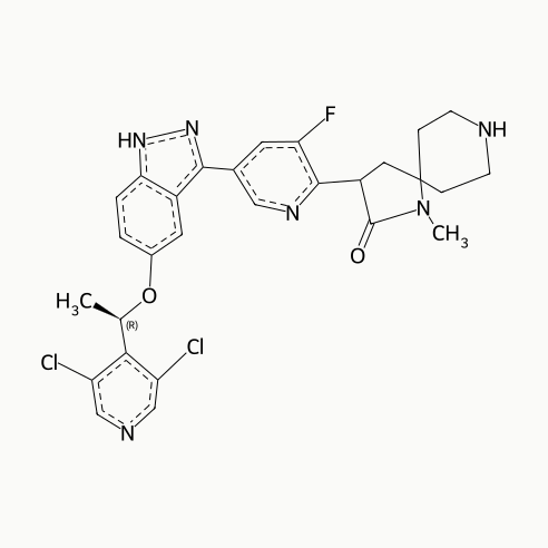 C[C@@H](Oc1ccc2[nH]nc(-c3cnc(C4CC5(CCNCC5)N(C)C4=O)c(F)c3)c2c1)c1c(Cl)cncc1Cl